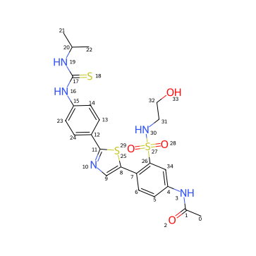 CC(=O)Nc1ccc(-c2cnc(-c3ccc(NC(=S)NC(C)C)cc3)s2)c(S(=O)(=O)NCCO)c1